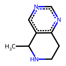 CC1NCCc2ncncc21